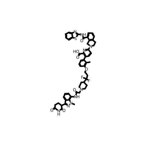 Cc1c(OCCC(F)(F)C2CCN(CC(=O)Nc3cccc4c(C5CCC(=O)NC5=O)nn(C)c34)CC2)cccc1-c1ccc(N2CCc3cccc(C(=O)Nc4nc5ccccc5s4)c3C2)nc1C(=O)O